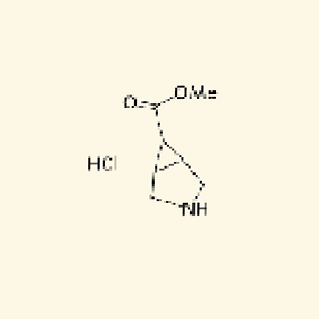 COC(=O)C1C2CNCC21.Cl